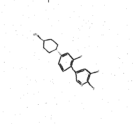 CCC[C@H]1CC[C@H](c2ccc(-c3cnc(F)c(F)c3)c(F)c2)CC1